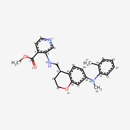 COC(=O)c1ccncc1NC[C@@H]1CCOc2cc(N(C)c3ccccc3C)ccc21